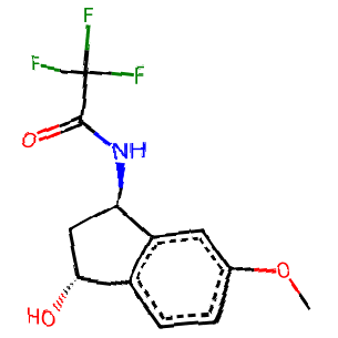 COc1ccc2c(c1)[C@H](NC(=O)C(F)(F)F)C[C@H]2O